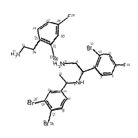 CC(NC(CN)c1ccc(F)cc1Br)c1ccc(Br)c(Br)c1.NCCc1ccc(F)cc1Br